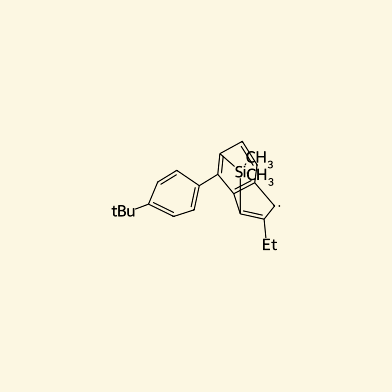 CCC1=C2c3c(ccc(c3-c3ccc(C(C)(C)C)cc3)[Si]2(C)C)[CH]1